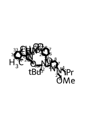 COCCN(CC(C)C)c1cccc(CN2C(=O)c3cccc(c3)S(=O)(=O)Nc3nc(cc(-c4c(C)cccc4C)n3)OC[C@H]2CC(C)(C)C)n1